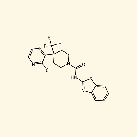 O=C(Nc1nc2ccccc2s1)N1CCC(c2nccnc2Cl)(C(F)(F)F)CC1